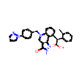 Cc1ccccc1C(C(=O)O)c1cccc2c1c1n[nH]c(=O)c-1cn2Cc1ccc(-n2cccn2)cc1